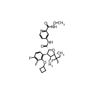 CONC(=O)c1cc(NC(=O)[C@@H]2O[C@@](C)(C(F)(F)F)[C@@H](C)[C@H]2c2ccc(F)c(F)c2OC2CCC2)ccn1